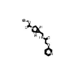 CC(C)(C)OC(=O)N1C[C@@H]2C(CNC(=O)COc3cccnc3)[C@@H]2C1